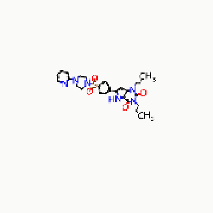 CCCn1c(=O)c2[nH]c(-c3ccc(S(=O)(=O)N4CCN(c5ccccn5)CC4)cc3)cc2n(CCC)c1=O